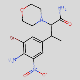 CC(c1cc(Br)c(N)c([N+](=O)[O-])c1)C(C(N)=O)N1CCOCC1